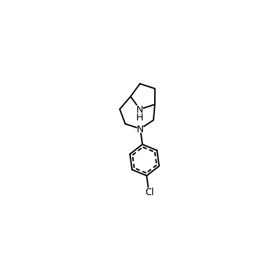 Clc1ccc(N2CCC3CCC(C2)N3)cc1